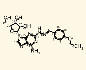 CCOc1ccc(C=NNc2nc(N)c3ncn([C@@H]4O[C@H](CO)[C@@H](O)[C@H]4O)c3n2)cc1